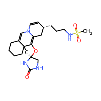 CS(=O)(=O)NCCC[C@H]1C=CN2C=C3CCCCC34C[C@@]3(CNC(=O)N3)OC4=C2C1